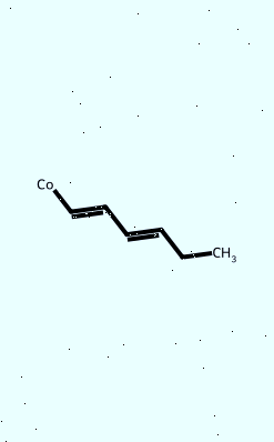 CCC=CC=[CH][Co]